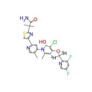 [2H]C([2H])(OC1=C(Cl)[C@@H](O)N(c2cc(-c3csc(C(C)(C)C(N)=O)n3)ncc2C)C(C)=C1)c1ncc(F)cc1F